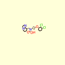 O=C(O)N(Cc1cccn2ccnc12)[C@H]1C[C@H](Oc2cccc(Cl)c2Cl)C1